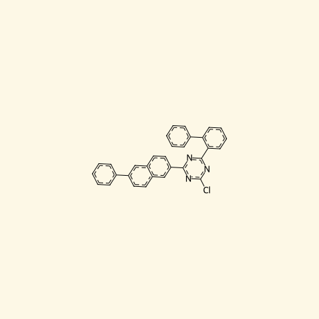 Clc1nc(-c2ccc3cc(-c4ccccc4)ccc3c2)nc(-c2ccccc2-c2ccccc2)n1